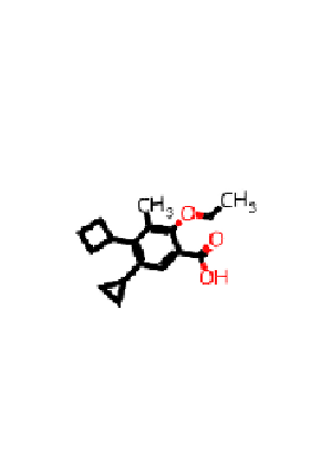 CCOc1c(C(=O)O)cc(C2CC2)c(C2CCC2)c1C